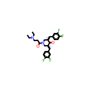 CCN(CC)CCC(=O)N1C/C(=C/c2ccc(F)c(F)c2)C(=O)/C(=C/c2ccc(F)c(F)c2)C1